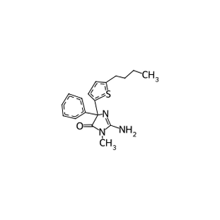 CCCCc1ccc(C2(c3ccccc3)N=C(N)N(C)C2=O)s1